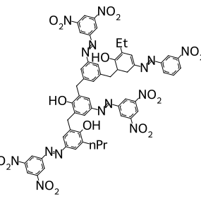 CCCc1cc(N=Nc2cc([N+](=O)[O-])cc([N+](=O)[O-])c2)cc(Cc2cc(N=Nc3cc([N+](=O)[O-])cc([N+](=O)[O-])c3)cc(Cc3cc(CC4CC(N=Nc5cccc([N+](=O)[O-])c5)=CC(CC)=C4O)cc(N=Nc4cc([N+](=O)[O-])cc([N+](=O)[O-])c4)c3)c2O)c1O